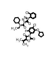 CC(C)=C1OC(=O)N(c2cc(OC3CCCC3)c(Cl)cc2F)C1=O.CCN(C(=O)n1nnn(-c2ccccc2Cl)c1=O)C1CCCCC1